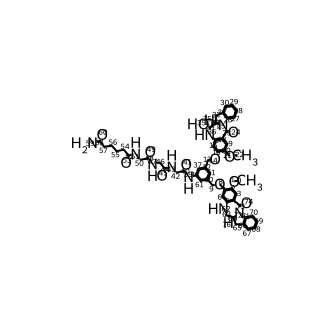 COc1cc2c(cc1OCc1cc(COc3cc4c(cc3OC)C(=O)N3c5ccccc5C[C@H]3C(O)N4)cc(NC(=O)CNC(=O)CNC(=O)CNC(=O)CCCCC(N)=O)c1)NC[C@@H]1Cc3ccccc3N1C2=O